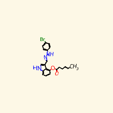 CCCCCC(=O)Oc1cccc2[nH]cc(/C=N/Nc3ccc(Br)cc3)c12